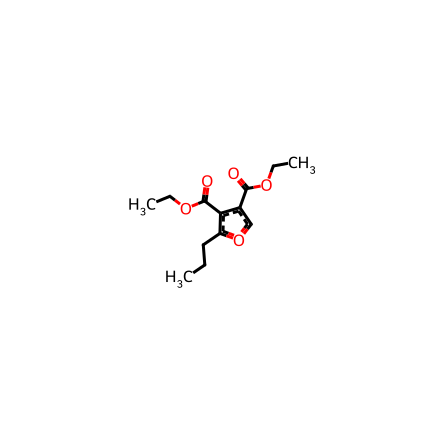 CCCc1occ(C(=O)OCC)c1C(=O)OCC